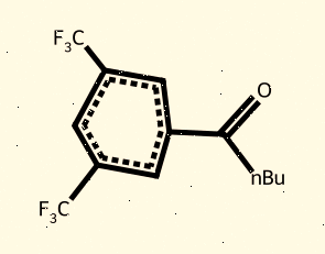 CCCCC(=O)c1cc(C(F)(F)F)cc(C(F)(F)F)c1